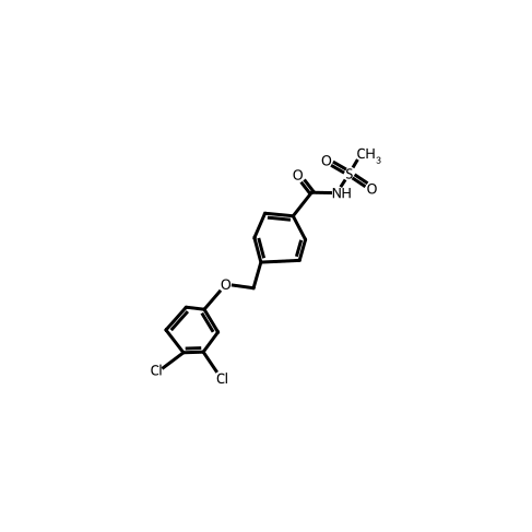 CS(=O)(=O)NC(=O)c1ccc(COc2ccc(Cl)c(Cl)c2)cc1